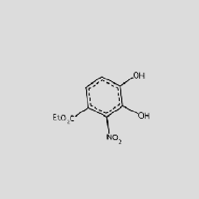 CCOC(=O)c1ccc(O)c(O)c1[N+](=O)[O-]